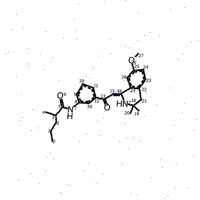 CCCC(C)C(=O)Nc1cccc(C(=O)/C=C2\NC(C)(C)Cc3ccc(OC)cc32)c1